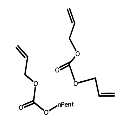 C=CCOC(=O)OCC=C.C=CCOC(=O)OCCCCC